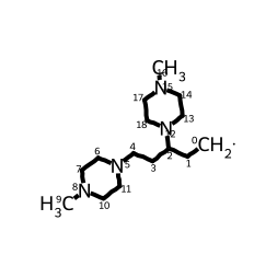 [CH2]CC(CCN1CCN(C)CC1)N1CCN(C)CC1